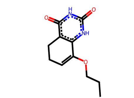 CCCOC1=CCCc2c1[nH]c(=O)[nH]c2=O